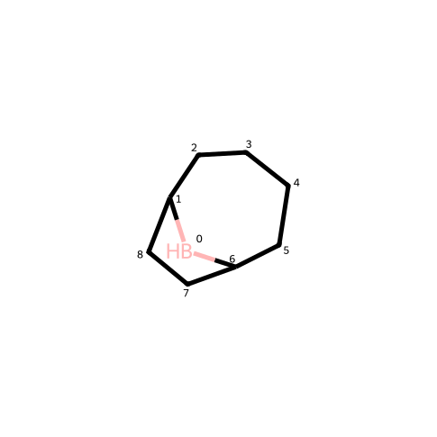 B1C2CCCCC1CC2